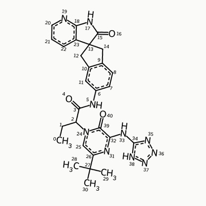 CCC(C(=O)Nc1ccc2c(c1)CC1(C2)C(=O)Nc2ncccc21)n1cc(C(C)(C)C)nc(Nc2nnn[nH]2)c1=O